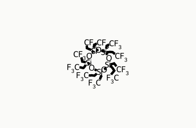 FC(F)(F)C[Si]1(CC(F)(F)F)O[Si](CC(F)(F)F)(CC(F)(F)F)O[Si](CC(F)(F)F)(CC(F)(F)F)O[Si](CC(F)(F)F)(CC(F)(F)F)O[Si](CC(F)(F)F)(CC(F)(F)F)O1